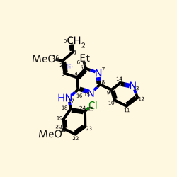 C=C/C(=C\c1c(CC)nc(-c2cccnc2)nc1Nc1cc(OC)ccc1Cl)OC